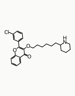 O=c1c(OCCCCCCC2CCCCN2)c(-c2cccc(Cl)c2)oc2ccccc12